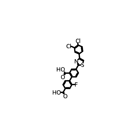 O=C(O)c1ccc(-c2ccc(-c3nc(-c4ccc(Cl)c(Cl)c4)cs3)cc2C(=O)O)c(F)c1